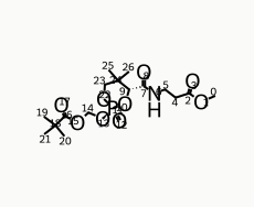 COC(=O)CCNC(=O)[C@@H]1O[P@@](=O)(OCOC(=O)C(C)(C)C)OCC1(C)C